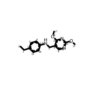 CCc1ccc(NCc2cnc(OC)nc2OC)cc1